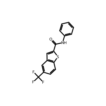 O=C(Nc1ccccc1)c1cc2cc(C(F)(F)F)ccc2s1